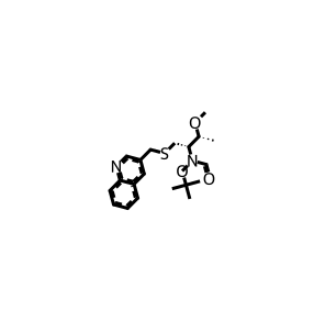 CO[C@H](C)[C@@H](CSCc1cnc2ccccc2c1)N(C=O)OC(C)(C)C